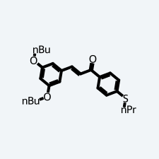 CCCCOc1cc(/C=C/C(=O)c2ccc(SCCC)cc2)cc(OCCCC)c1